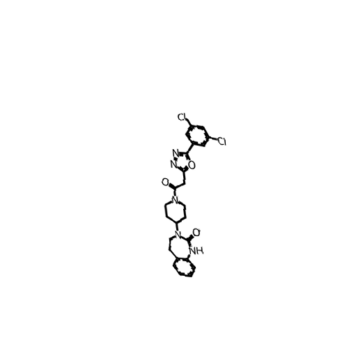 O=C(Cc1nnc(-c2cc(Cl)cc(Cl)c2)o1)N1CCC(N2CCc3ccccc3NC2=O)CC1